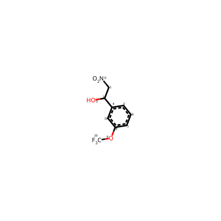 O=[N+]([O-])CC(O)c1cccc(OC(F)(F)F)c1